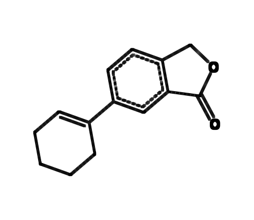 O=C1OCc2ccc(C3=CCCCC3)cc21